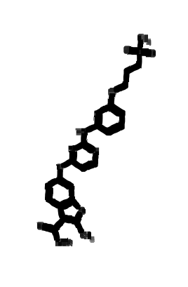 CNC(=O)c1c(C)oc2cc(Oc3ccnc(Nc4cccc(OCCCS(C)(=O)=O)c4)n3)ccc12